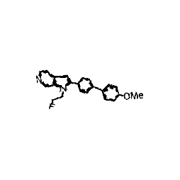 COc1ccc(-c2ccc(-c3cc4ccncc4n3CCF)cc2)cc1